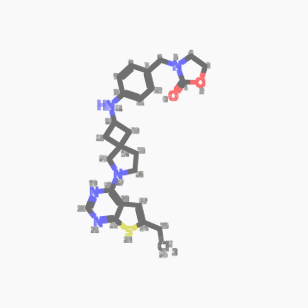 O=C1OCCN1Cc1ccc(NC2CC3(CCN(c4ncnc5sc(CC(F)(F)F)cc45)C3)C2)cc1